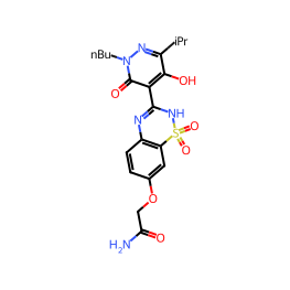 CCCCn1nc(C(C)C)c(O)c(C2=Nc3ccc(OCC(N)=O)cc3S(=O)(=O)N2)c1=O